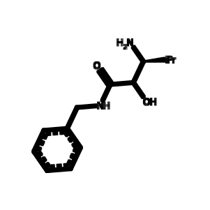 CC(C)[C@H](N)C(O)C(=O)NCc1ccccc1